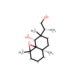 C[C@@H](CO)C1(C)CC[C@@]2(C)CCCC3(C)OC32[C@@H]1O